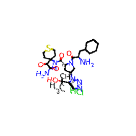 CC(C)(O)c1cnnn1[C@H]1C[C@@H](C(=O)NC2(C(=O)C(N)=O)CCSCC2)N(C(=O)C(N)CC2CCCCC2)C1.Cl